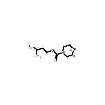 CC(C)CCOC(=O)N1CCNCC1